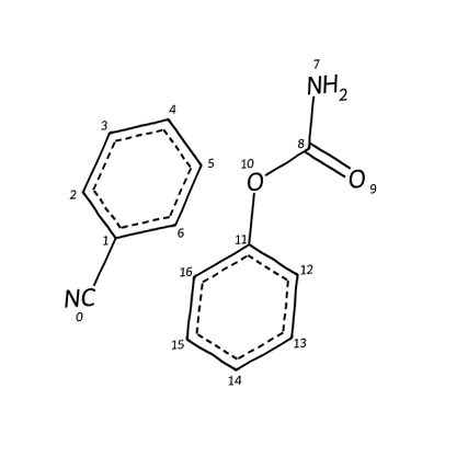 N#Cc1ccccc1.NC(=O)Oc1ccccc1